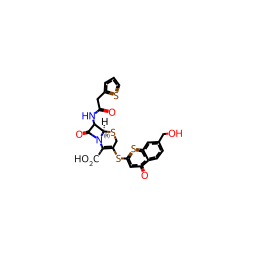 O=C(Cc1cccs1)NC1C(=O)N2C(C(=O)O)=C(Sc3cc(=O)c4ccc(CO)cc4s3)CS[C@H]12